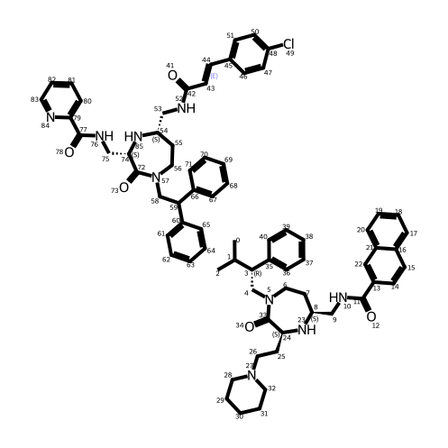 CC(C)[C@@H](CN1CC[C@@H](CNC(=O)c2ccc3ccccc3c2)N[C@@H](CCN2CCCCC2)C1=O)c1ccccc1.O=C(/C=C/c1ccc(Cl)cc1)NC[C@@H]1CCN(CC(c2ccccc2)c2ccccc2)C(=O)[C@H](CNC(=O)c2ccccn2)N1